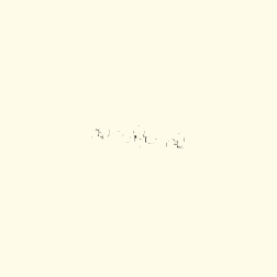 C=CC(=O)OCc1ccc2cc(OC(=O)c3ccc4cc(COC(=O)C(=C)C)ccc4c3)ccc2c1